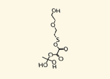 CC(O)(O)OC(=O)C(=O)OSCCOCCO